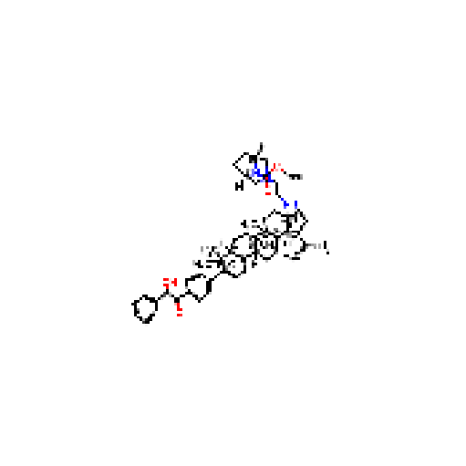 C=C(C)[C@@H]1CC[C@]2(NCCN3C[C@H]4CC[C@@H](C3)N4C(=O)OC(C)(C)C)CC[C@]3(C)[C@H](CC[C@@H]4[C@@]5(C)CC=C(c6ccc(C(=O)C(O)c7ccccc7)cc6)C(C)(C)[C@@H]5CC[C@]43C)[C@@H]12